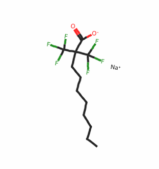 CCCCCCCCC(C(=O)[O-])(C(F)(F)F)C(F)(F)F.[Na+]